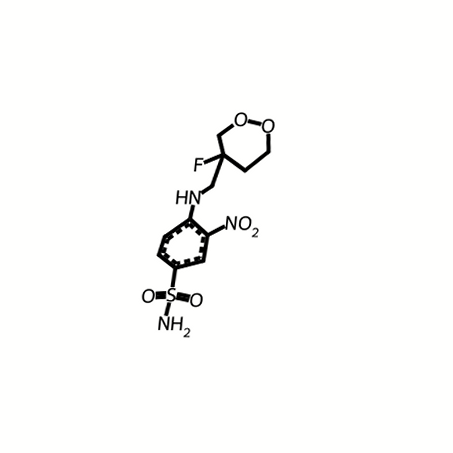 NS(=O)(=O)c1ccc(NCC2(F)CCOOC2)c([N+](=O)[O-])c1